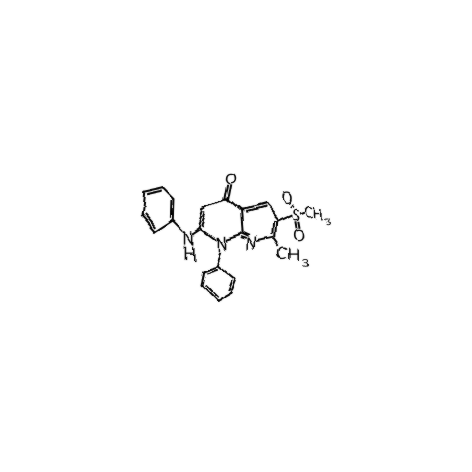 Cc1nc2c(cc1S(C)(=O)=O)c(=O)cc(Nc1ccccc1)n2-c1ccccc1